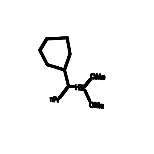 CCCC(C1CCCCC1)[SiH](OC)OC